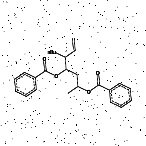 C=CC(CCCC)C(CC(C)OC(=O)c1ccccc1)OC(=O)c1ccccc1